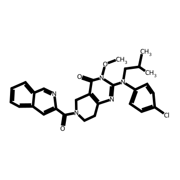 COn1c(N(CC(C)C)c2ccc(Cl)cc2)nc2c(c1=O)CN(C(=O)c1cc3ccccc3cn1)CC2